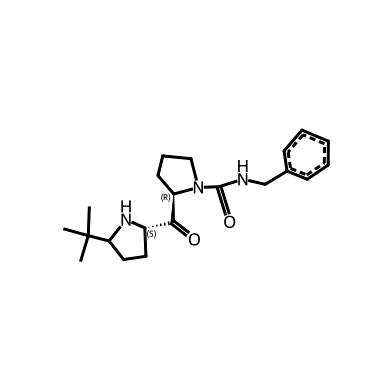 CC(C)(C)C1CC[C@@H](C(=O)[C@H]2CCCN2C(=O)NCc2ccccc2)N1